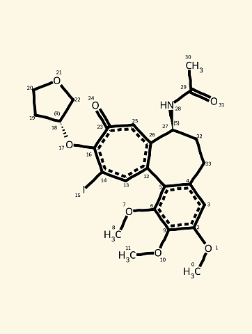 COc1cc2c(c(OC)c1OC)-c1cc(I)c(O[C@@H]3CCOC3)c(=O)cc1[C@@H](NC(C)=O)CC2